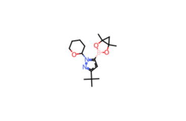 CC(C)(C)c1cc(B2OC3(C)CC3(C)O2)n(C2CCCCO2)n1